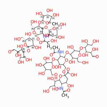 CC(=O)NC1C(O)CC(OCC2OC(OC3C(O)C(CO)OC(OC(C(O)CO)C(O)C(O)C=O)C3O)C(NC(C)=O)C(OC3OC(CO)C(O)C(O)C3O)C2O)(C(=O)O)OC1C(O)C(O)CO.CC(=O)N[C@H]1[C@H](O[C@H]2[C@@H](O)[C@@H](CO)O[C@@H](O[C@@H]([C@H](O)[C@@H](O)C=O)[C@H](O)CO)[C@@H]2O)O[C@H](CO)[C@@H](O[C@@H]2O[C@@H](C)[C@@H](O)[C@@H](O)[C@@H]2O)[C@@H]1O[C@@H]1O[C@H](CO)[C@H](O)[C@H](O)[C@H]1O